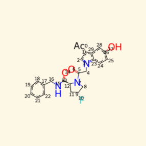 CC(=O)c1cn(CC(=O)N2C[C@H](F)C[C@H]2C(=O)NCc2ccccc2)c2ccc(O)cc12